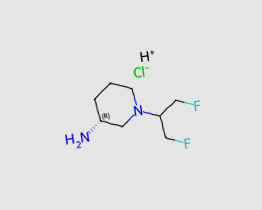 N[C@@H]1CCCN(C(CF)CF)C1.[Cl-].[H+]